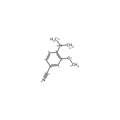 COc1cc(C#N)ccc1N(C)C